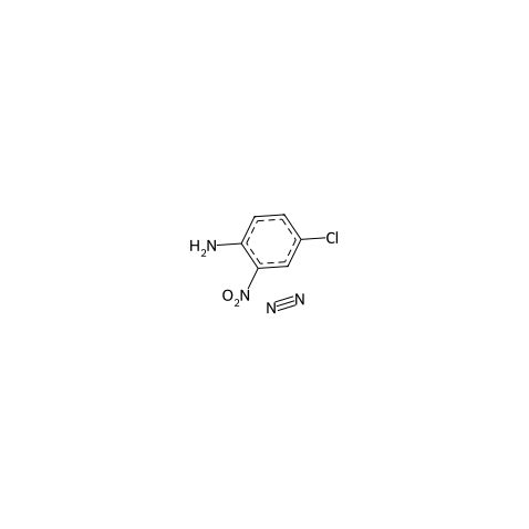 N#N.Nc1ccc(Cl)cc1[N+](=O)[O-]